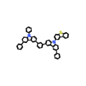 C1=C(c2ccccc2)CCc2c1c1cc(-c3cccc(-c4ccc5c(c4)c4cc(-c6ccccc6)ccc4n5-c4ccc5sc6ccccc6c5c4)c3)ccc1n2-c1ccccc1